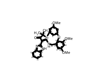 COc1cc2cc(c1)N1C(=C(c3nc4ccccc4[nH]3)C(=O)C1(C)C)NCc1cc(OC)cc(OC)c1O2